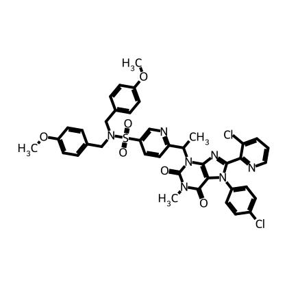 COc1ccc(CN(Cc2ccc(OC)cc2)S(=O)(=O)c2ccc(C(C)n3c(=O)n(C)c(=O)c4c3nc(-c3ncccc3Cl)n4-c3ccc(Cl)cc3)nc2)cc1